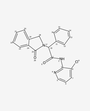 O=C(Nc1ncccc1Cl)C(c1ccccc1)N1Cc2ccccc2C1=O